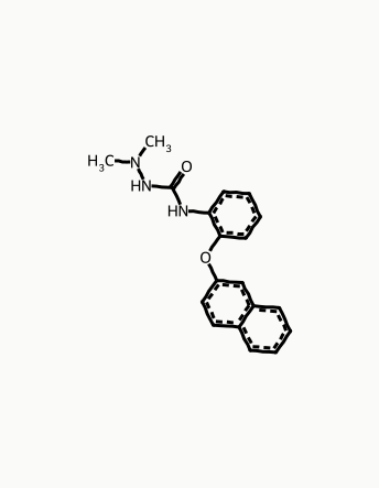 CN(C)NC(=O)Nc1ccccc1Oc1ccc2ccccc2c1